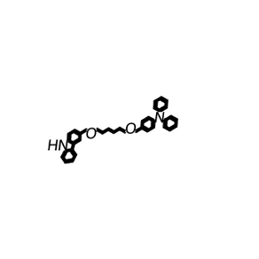 c1ccc(N(c2ccccc2)c2ccc(COCCCCCCOCc3ccc4[nH]c5ccccc5c4c3)cc2)cc1